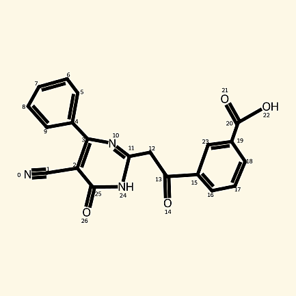 N#Cc1c(-c2ccccc2)nc(CC(=O)c2cccc(C(=O)O)c2)[nH]c1=O